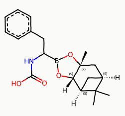 CC1(C)[C@H]2C[C@@H]1[C@@H]1OB(C(Cc3ccccc3)NC(=O)O)O[C@]1(C)C2